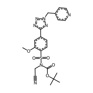 COc1cc(-c2nnn(Cc3ccncc3)n2)ccc1S(=O)(=O)N(CC#N)C(=O)OC(C)(C)C